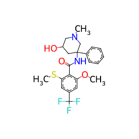 COc1cc(C(F)(F)F)cc(SC)c1C(=O)NC1(c2ccccc2)CC(O)CN(C)C1